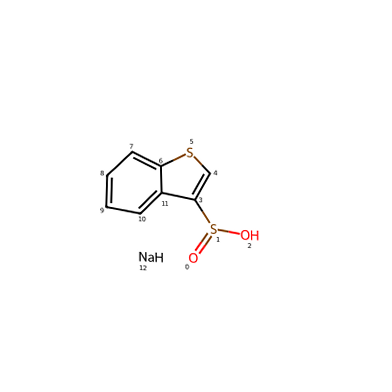 O=S(O)c1csc2ccccc12.[NaH]